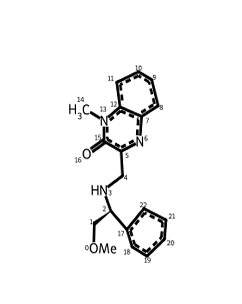 COC[C@@H](NCc1nc2ccccc2n(C)c1=O)c1ccccc1